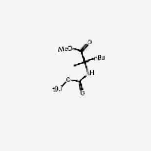 CCCCC(C)(NC(=O)OC(C)(C)C)C(=O)OC